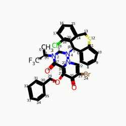 C[C@@H](N1CN([C@@H]2c3ccccc3SCc3cccc(Cl)c32)n2cc(Br)c(=O)c(OCc3ccccc3)c2C1=O)C(F)(F)F